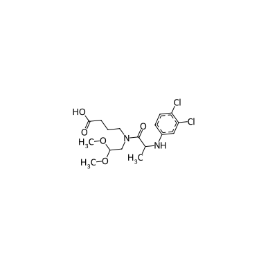 COC(CN(CCCC(=O)O)C(=O)C(C)Nc1ccc(Cl)c(Cl)c1)OC